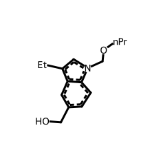 CCCOCn1cc(CC)c2cc(CO)ccc21